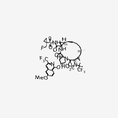 COc1ccc2c(O[C@@H]3C[C@H]4C(=O)N[C@]5(C(=O)NS(=O)(=O)C6(CF)CC6)C[C@H]5C=CCC[C@H](C)C[C@@H](C)[C@H](N(C(=O)O)C(C)(C)C(F)(F)F)C(=O)N4C3)nc(C(F)(F)F)cc2c1